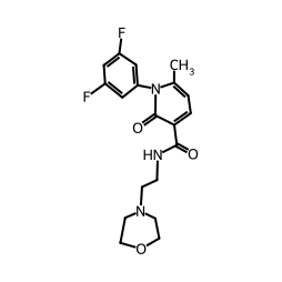 Cc1ccc(C(=O)NCCN2CCOCC2)c(=O)n1-c1cc(F)cc(F)c1